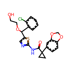 O=C(Nc1ncc(C(OCCO)c2ccccc2Cl)s1)C1(c2ccc3c(c2)OCO3)CC1